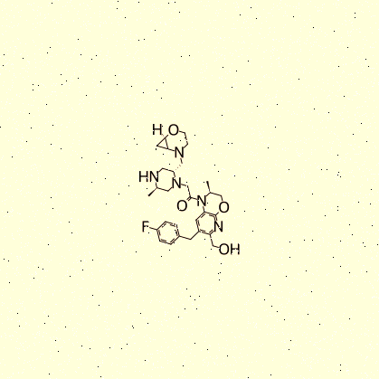 C[C@@H]1CN(CC(=O)N2c3cc(Cc4ccc(F)cc4)c(CO)nc3OC[C@@H]2C)[C@@H](CN2CCO[C@@H]3CC32)CN1